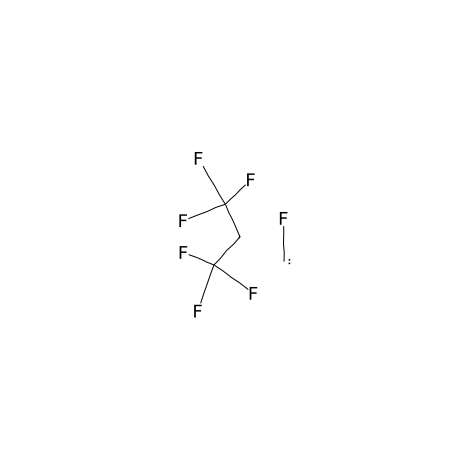 FC(F)(F)CC(F)(F)F.[CH]F